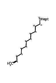 C=CCCCCCCCCCCCCCCCCC